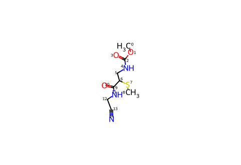 COC(=O)NCC(SC)C(=O)NCC#N